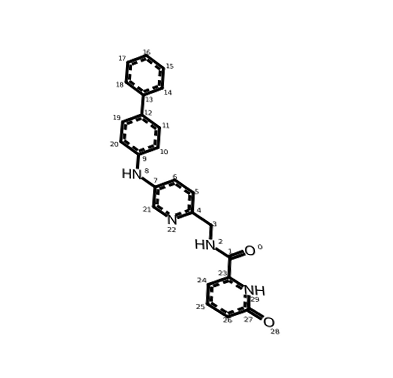 O=C(NCc1ccc(Nc2ccc(-c3ccccc3)cc2)cn1)c1cccc(=O)[nH]1